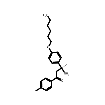 Cc1ccc(C(=O)C[C@](C)(N)c2ccc(OCCCCCC(F)(F)F)cc2)cc1